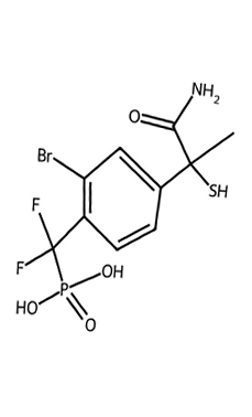 CC(S)(C(N)=O)c1ccc(C(F)(F)P(=O)(O)O)c(Br)c1